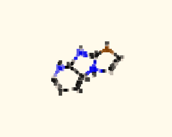 c1cnc2nc3sccn3c2c1